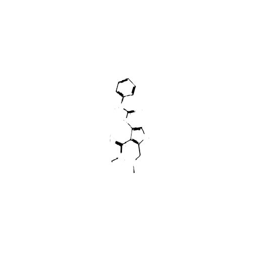 COCc1scc(NC(=O)Oc2ccccc2)c1C(=O)OC